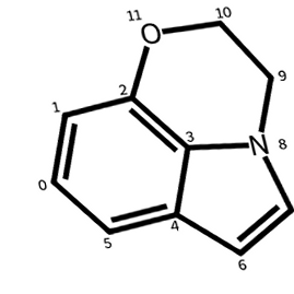 c1cc2c3c(c1)ccn3CCO2